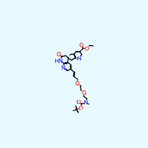 CCOC(=O)c1cnc2c(c1)C[C@]1(CC(=O)Nc3ncc(/C=C/COCCOCCN(C)C(=O)OC(C)(C)C)cc31)C2